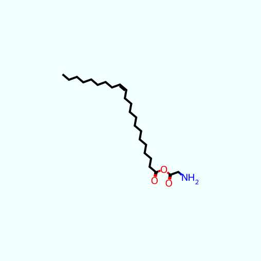 CCCCCCCC/C=C\CCCCCCCCCCCC(=O)OC(=O)CN